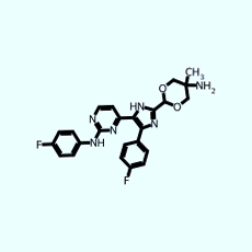 CC1(N)COC(c2nc(-c3ccc(F)cc3)c(-c3ccnc(Nc4ccc(F)cc4)n3)[nH]2)OC1